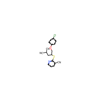 N#Cc1cccnc1SC(COc1ccc(Cl)cc1)CC(C#N)C#N